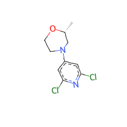 C[C@@H]1CN(c2cc(Cl)nc(Cl)c2)CCO1